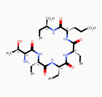 CC(C)C[C@H](NC(=O)[C@H](CCC(=O)O)NC(=O)[C@H](CC(C)C)NC(=O)[C@H](CC(C)C)NC(=O)[C@H](CC(C)C)NC(=O)[C@@H](N)[C@@H](C)O)C(=O)O